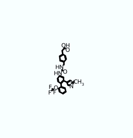 Cn1cc(-c2cc(NC(=O)NCc3ccc(CC(=O)O)cc3)ccc2-c2ccccc2OC(F)(F)F)cn1